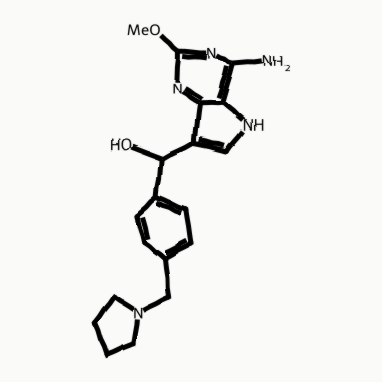 COc1nc(N)c2[nH]cc(C(O)c3ccc(CN4CCCC4)cc3)c2n1